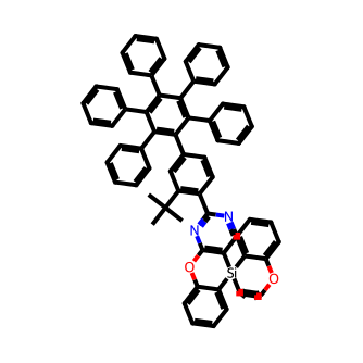 CC(C)(C)c1cc(-c2c(-c3ccccc3)c(-c3ccccc3)c(-c3ccccc3)c(-c3ccccc3)c2-c2ccccc2)ccc1-c1ncc2c(n1)Oc1ccccc1[Si]21c2ccccc2Oc2ccccc21